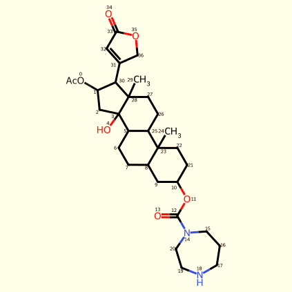 CC(=O)OC1CC2(O)C3CCC4CC(OC(=O)N5CCCNCC5)CCC4(C)C3CCC2(C)C1C1=CC(=O)OC1